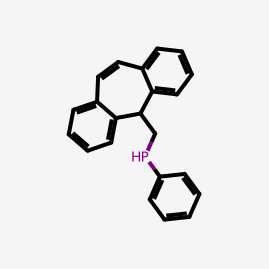 C1=Cc2ccccc2C(CPc2ccccc2)c2ccccc21